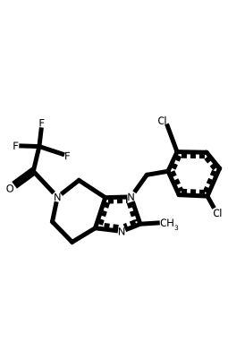 Cc1nc2c(n1Cc1cc(Cl)ccc1Cl)CN(C(=O)C(F)(F)F)CC2